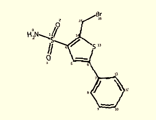 NS(=O)(=O)c1cc(-c2ccccc2)sc1CBr